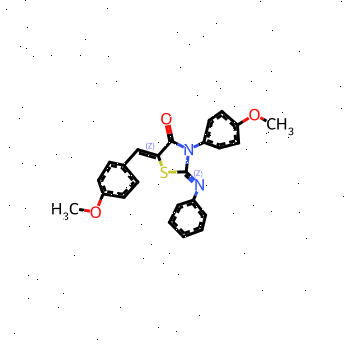 COc1ccc(/C=C2\S/C(=N\c3ccccc3)N(c3ccc(OC)cc3)C2=O)cc1